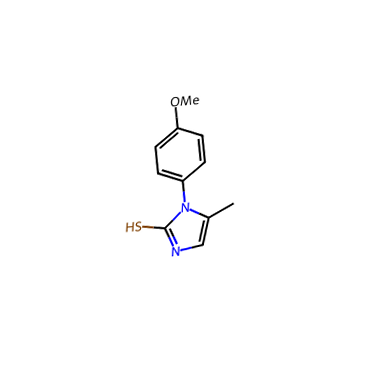 COc1ccc(-n2c(C)cnc2S)cc1